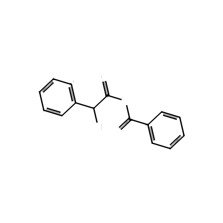 C=C(OC(=O)c1ccccc1)C(Cl)c1ccccc1